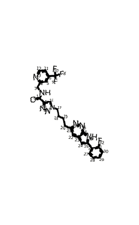 O=C(NCc1cc(C(F)(F)F)ccn1)c1cn(CCCCc2cc3cc(-c4ccccc4F)[nH]c3nn2)nn1